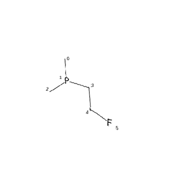 CP(C)CCF